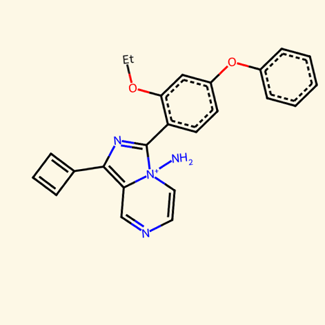 CCOc1cc(Oc2ccccc2)ccc1C1=NC(C2=CC=C2)=C2C=NC=C[N+]12N